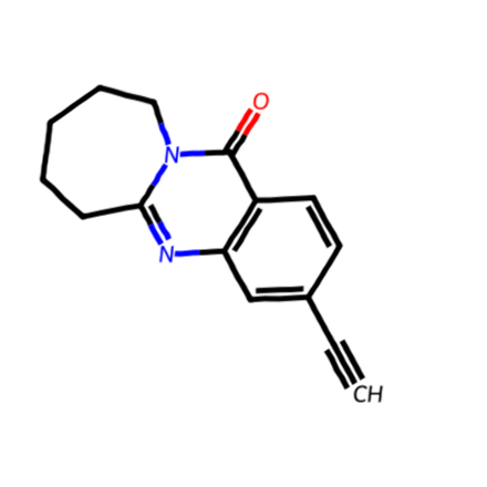 C#Cc1ccc2c(=O)n3c(nc2c1)CCCCC3